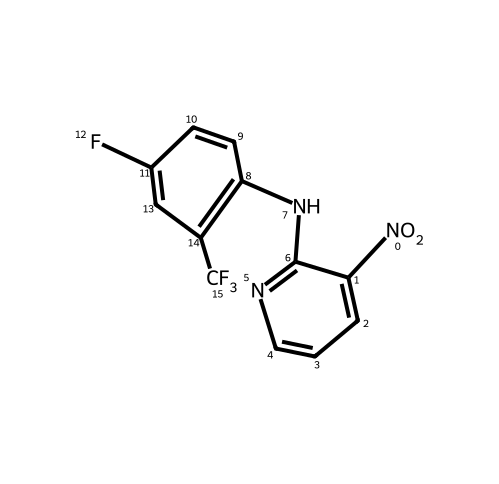 O=[N+]([O-])c1cccnc1Nc1ccc(F)cc1C(F)(F)F